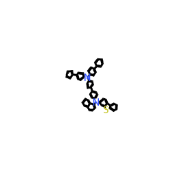 c1ccc(-c2ccc(N(c3ccc(-c4ccccc4)cc3)c3ccc(-c4ccc(N(c5ccc6c(c5)sc5ccccc56)c5cccc6ccccc56)cc4)cc3)cc2)cc1